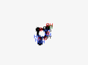 CC(C)[C@H]1NC(=O)[C@@H](Cc2ccc(O)c(Cl)c2)N[C@@H](C)COc2ccccc2CCCNC(=O)[C@H](CNc2ncccn2)NC1=O